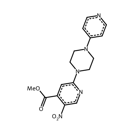 COC(=O)c1cc(N2CCN(c3ccncc3)CC2)ncc1[N+](=O)[O-]